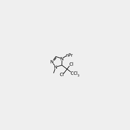 CCCN1C=NN(C)C1C(Cl)(Cl)C(Cl)(Cl)Cl